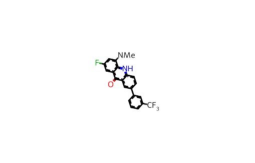 CNc1cc(F)cc2c(=O)c3cc(-c4cccc(C(F)(F)F)c4)ccc3[nH]c12